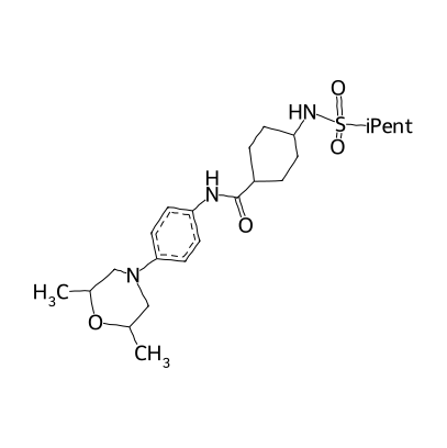 CCCC(C)S(=O)(=O)NC1CCC(C(=O)Nc2ccc(N3CC(C)OC(C)C3)cc2)CC1